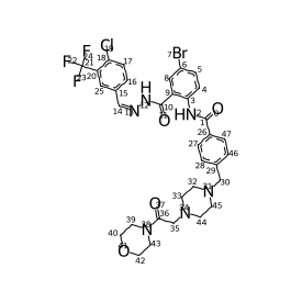 O=C(Nc1ccc(Br)cc1C(=O)N/N=C\c1ccc(Cl)c(C(F)(F)F)c1)c1ccc(CN2CCN(CC(=O)N3CCOCC3)CC2)cc1